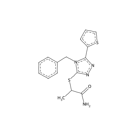 CC(Sc1nnc(-c2cccs2)n1Cc1ccccc1)C(N)=O